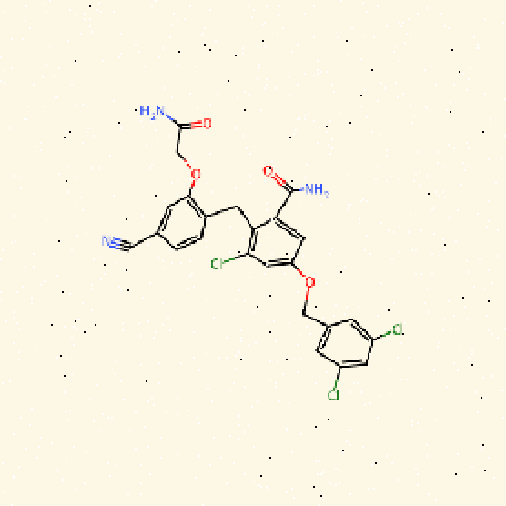 N#Cc1ccc(Cc2c(Cl)cc(OCc3cc(Cl)cc(Cl)c3)cc2C(N)=O)c(OCC(N)=O)c1